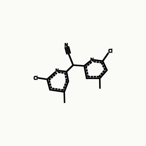 Cc1cc(Cl)nc(C(C#N)c2cc(C)cc(Cl)n2)c1